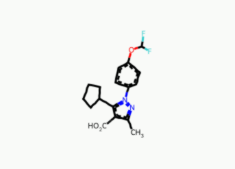 Cc1nn(-c2ccc(OC(F)F)cc2)c(C2CCCC2)c1C(=O)O